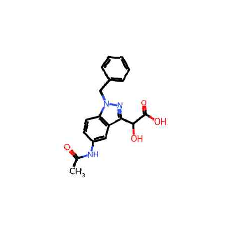 CC(=O)Nc1ccc2c(c1)c(C(O)C(=O)O)nn2Cc1ccccc1